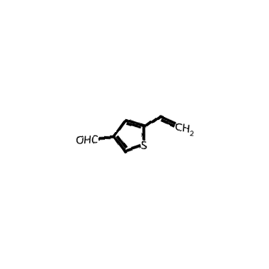 C=Cc1cc(C=O)cs1